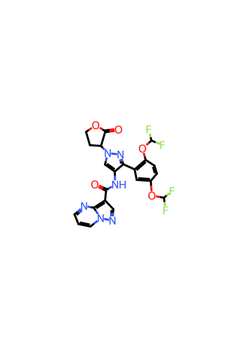 O=C(Nc1cn(C2CCOC2=O)nc1-c1cc(OC(F)F)ccc1OC(F)F)c1cnn2cccnc12